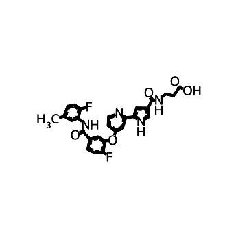 Cc1ccc(F)c(NC(=O)c2ccc(F)c(Oc3ccnc(-c4cc(C(=O)NCCC(=O)O)c[nH]4)c3)c2)c1